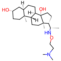 C[C@H](NOCCN(C)C)[C@H]1CC[C@]2(O)[C@@H]3CC[C@@H]4C[C@@H](O)CC[C@]4(C)[C@H]3CC[C@]12C